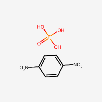 O=P(O)(O)O.O=[N+]([O-])c1ccc([N+](=O)[O-])cc1